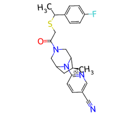 CC(SCC(=O)N1CC2C[C@H](C)C(C1)N2c1ccc(C#N)cn1)c1ccc(F)cc1